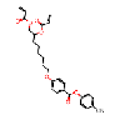 C=CC(=O)OCC(CCCCCCOc1ccc(C(=O)Oc2ccc(C#N)cc2)cc1)OC(=O)C=C